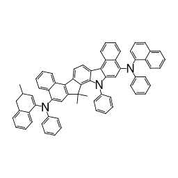 CC1C=C(N(c2ccccc2)c2cc3c(c4ccccc24)-c2ccc4c5c6ccccc6c(N(c6ccccc6)c6cccc7ccccc67)cc5n(-c5ccccc5)c4c2C3(C)C)c2ccccc2C1